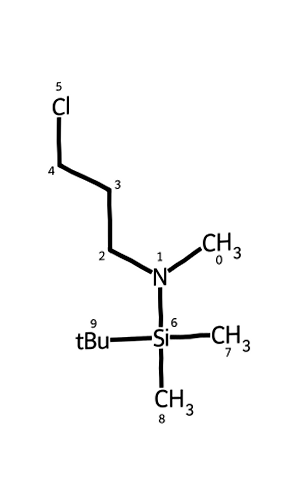 CN(CCCCl)[Si](C)(C)C(C)(C)C